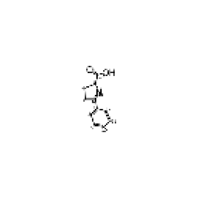 O=C(O)C1CCC(c2ccccc2)=N1